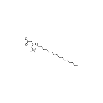 CCCCCCCCCCCCCCCCOC(CC(=O)[O-])C[N+](C)(C)C